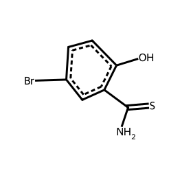 NC(=S)c1cc(Br)ccc1O